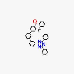 CC1(C)c2ccccc2C(=O)c2ccc(-c3cccc(-c4cccc(-c5nc(-c6ccccc6)nc(-c6ccccc6)n5)c4)c3)cc21